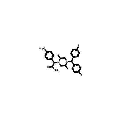 COc1ccc(C(C(N)=O)N2CC(C)N(C(c3ccc(F)cc3)c3ccc(F)cc3)CC2C)cc1